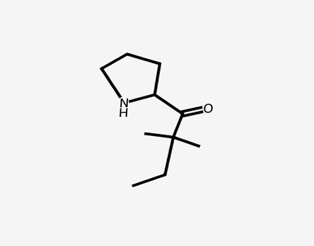 CCC(C)(C)C(=O)C1CCCN1